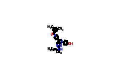 CCC[C@H](C)Nc1ncc2c(C3CCN(C(=O)c4cc(C)cc(C)c4)CC3)cn([C@H]3CC[C@H](O)CC3)c2n1